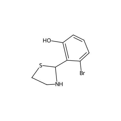 Oc1cccc(Br)c1C1NCCS1